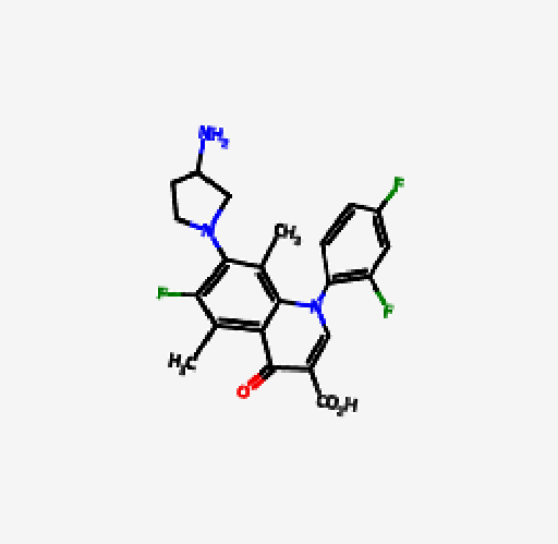 Cc1c(F)c(N2CCC(N)C2)c(C)c2c1c(=O)c(C(=O)O)cn2-c1ccc(F)cc1F